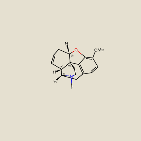 COc1ccc2c3c1O[C@H]1CC=C[C@H]4[C@@H](C2)N(C)CC[C@]314